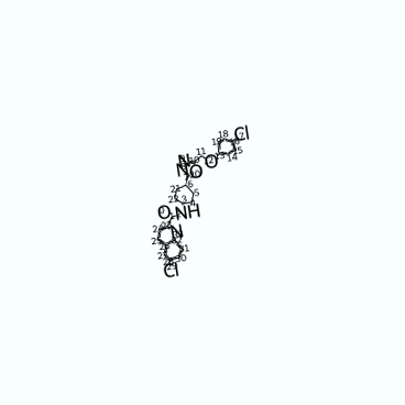 O=C(N[C@H]1CC[C@H](c2nnc(COc3ccc(Cl)cc3)o2)CC1)c1ccc2cc(Cl)ccc2n1